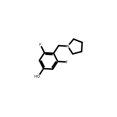 Oc1cc(F)c(CN2CCCC2)c(F)c1